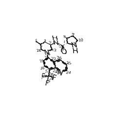 CC1C[C@@H](NC(=O)[C@@H]2CCCN2)CN(c2ccc(C(F)(F)F)c3ncccc23)C1